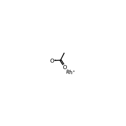 CC(=O)[O-].[Rh+]